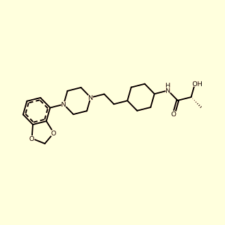 C[C@@H](O)C(=O)NC1CCC(CCN2CCN(c3cccc4c3OCO4)CC2)CC1